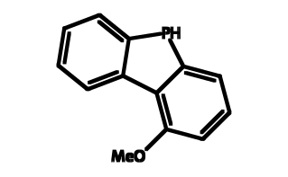 COc1cccc2[pH]c3ccccc3c12